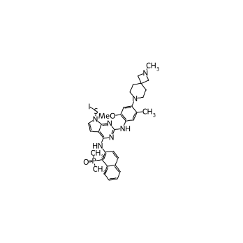 COc1cc(N2CCC3(CC2)CN(C)C3)c(C)cc1Nc1nc(Nc2ccc3ccccc3c2P(C)(C)=O)c2ccn(SI)c2n1